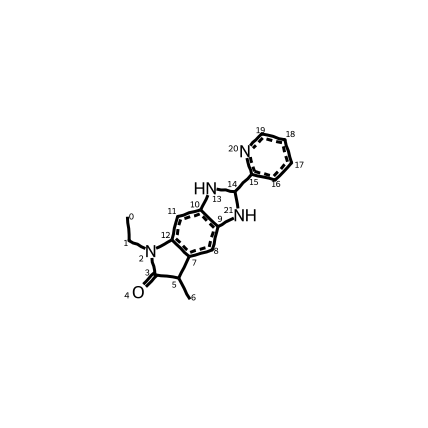 CCN1C(=O)C(C)c2cc3c(cc21)NC(c1ccccn1)N3